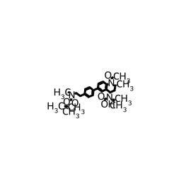 CC(=O)N1c2ccc(-c3ccc(CCN(C)C(=O)OC(C)(C)C)cc3)cc2[C@H](N(C(=O)O)C(C)C)C[C@@H]1C